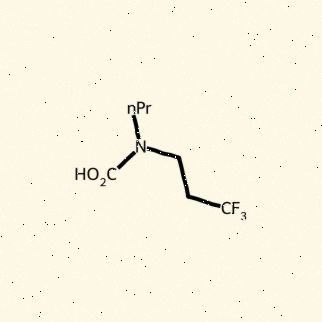 CCCN(CCC(F)(F)F)C(=O)O